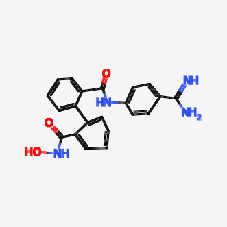 N=C(N)c1ccc(NC(=O)c2ccccc2-c2ccccc2C(=O)NO)cc1